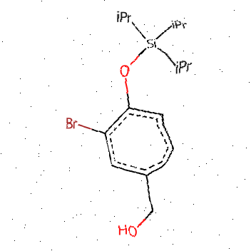 CC(C)[Si](Oc1ccc(CO)cc1Br)(C(C)C)C(C)C